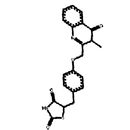 CC1C(=O)c2ccccc2N=C1COc1ccc(CC2SC(=O)NC2=O)cc1